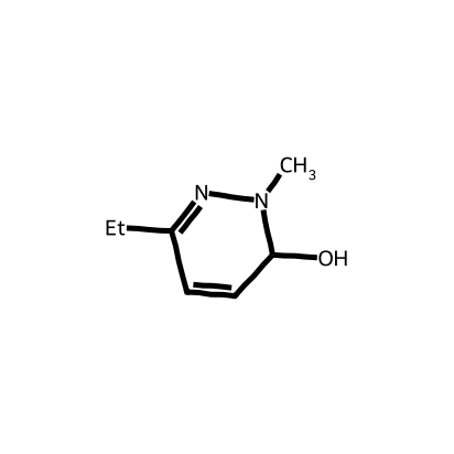 CCC1=NN(C)C(O)C=C1